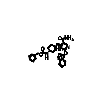 NC(=O)c1cnc(On2nnc3ccccc32)nc1N[C@H]1CC[C@@H](NC(=O)OCc2ccccc2)CC1